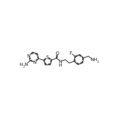 NCc1ccc(CCNC(=O)c2ccc(-c3ccnc(N)n3)s2)c(F)c1